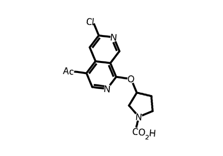 CC(=O)c1cnc(OC2CCN(C(=O)O)C2)c2cnc(Cl)cc12